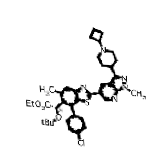 CCOC(=O)[C@@H](OC(C)(C)C)c1c(C)cc2nc(-c3cnc4c(c3)c(C3CCN(C5CCC5)CC3)nn4C)sc2c1-c1ccc(Cl)cc1